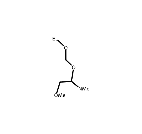 CCOCOC(COC)NC